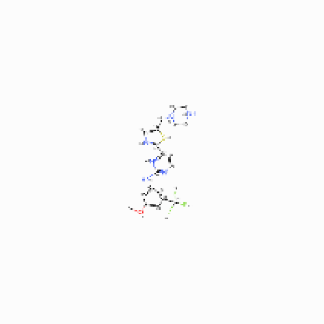 COc1cc(Nc2nccc(-c3ncc(CN4CCNCC4)s3)n2)cc(C(F)(F)F)c1